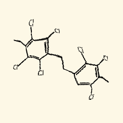 Cc1c(Cl)cc(CCc2c(Cl)c(Cl)c(C)c(Cl)c2Cl)c(Cl)c1Cl